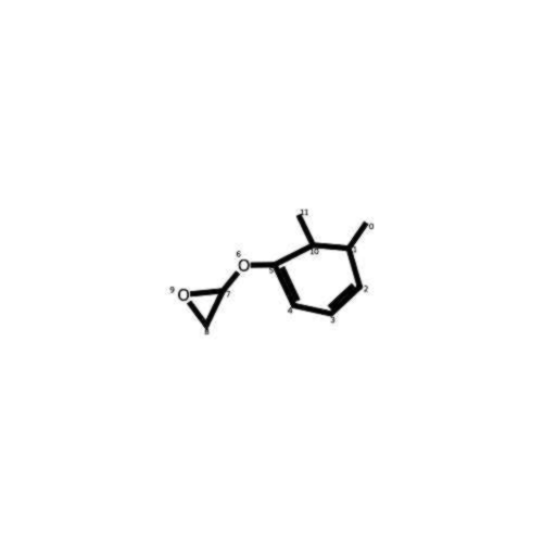 CC1C=CC=C(OC2CO2)C1C